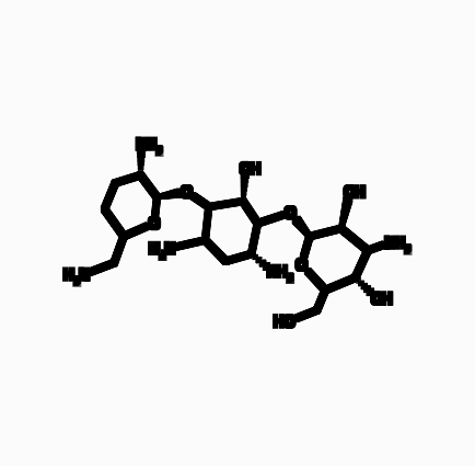 NCC1CC[C@H](N)[C@@H](OC2C(N)C[C@@H](N)C(O[C@@H]3OC(CO)[C@@H](O)C(N)[C@@H]3O)[C@H]2O)O1